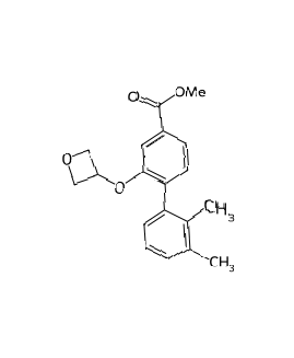 COC(=O)c1ccc(-c2cccc(C)c2C)c(OC2COC2)c1